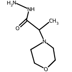 CC(C(=O)NN)N1CCOCC1